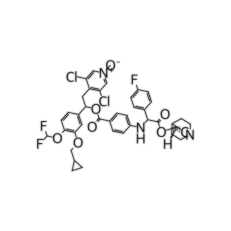 O=C(OC(Cc1c(Cl)c[n+]([O-])cc1Cl)c1ccc(OC(F)F)c(OCC2CC2)c1)c1ccc(NC(C(=O)O[C@H]2CN3CCC2CC3)c2ccc(F)cc2)cc1